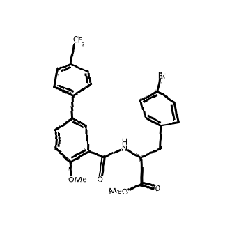 COC(=O)C(Cc1ccc(Br)cc1)NC(=O)c1cc(-c2ccc(C(F)(F)F)cc2)ccc1OC